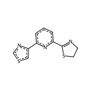 c1cc(C2=NCCS2)nc(-c2cscn2)c1